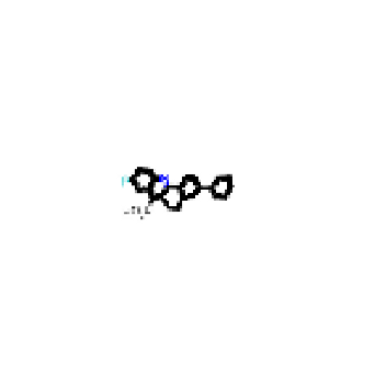 O=C(O)c1c2c(nc3ccc(F)cc13)-c1ccc(-c3ccccc3)cc1CC2